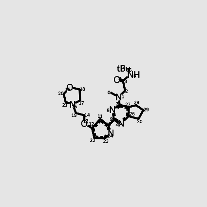 CN(CC(=O)NC(C)(C)C)c1nc(-c2cc(OCCN3CCOCC3)ccn2)nc2c1CCC2